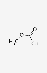 CO[C](=O)[Cu]